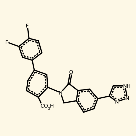 O=C(O)c1ccc(-c2ccc(F)c(F)c2)cc1N1Cc2ccc(-c3c[nH]nn3)cc2C1=O